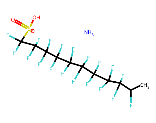 CC(F)C(F)(F)C(F)(F)C(F)(F)C(F)(F)C(F)(F)C(F)(F)C(F)(F)C(F)(F)C(F)(F)S(=O)(=O)O.N